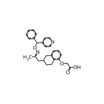 CC(CC1CCc2c(cccc2OCC(=O)O)C1)=NOC(c1ccccc1)c1ccncc1